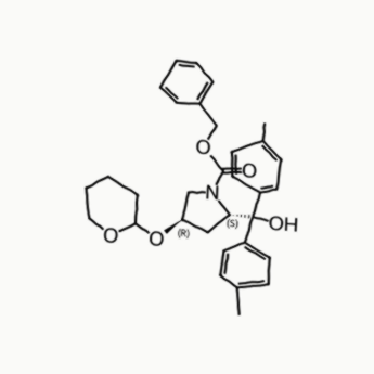 Cc1ccc(C(O)(c2ccc(C)cc2)[C@@H]2C[C@@H](OC3CCCCO3)CN2C(=O)OCc2ccccc2)cc1